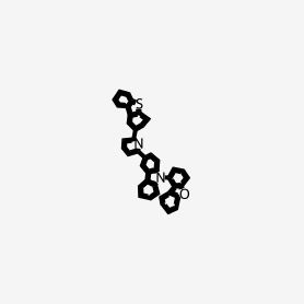 c1cc(-c2ccc3sc4ccccc4c3c2)nc(-c2ccc3c(c2)c2ccccc2n3-c2cccc3oc4ccccc4c23)c1